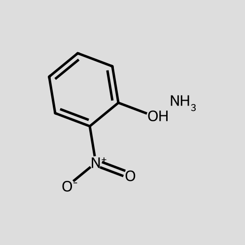 N.O=[N+]([O-])c1ccccc1O